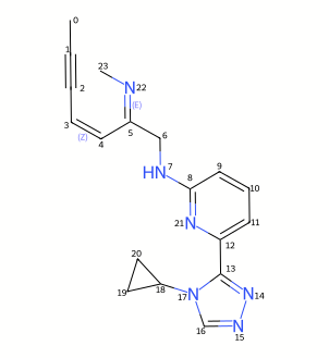 CC#C/C=C\C(CNc1cccc(-c2nncn2C2CC2)n1)=N/C